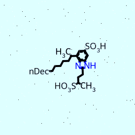 CCCCCCCCCCCCCCCC(C)c1cc(S(=O)(=O)O)cc2[nH]c(CCC(C)S(=O)(=O)O)nc12